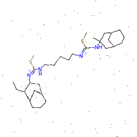 CCC1C2CCCC(C2)CC1/N=C(\NCCCCC/N=C(/NC1(C)CC2CCCC(C2)C1)SC)SC